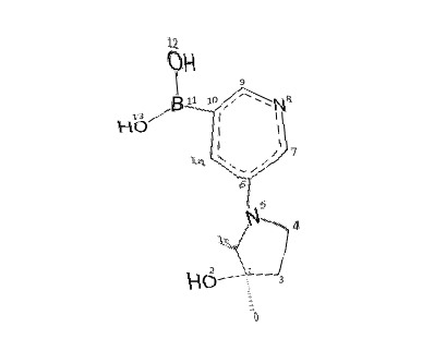 C[C@@]1(O)CCN(c2cncc(B(O)O)c2)C1